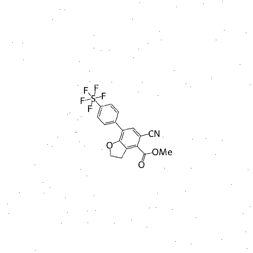 COC(=O)c1c(C#N)cc(-c2ccc(S(F)(F)(F)(F)F)cc2)c2c1CCO2